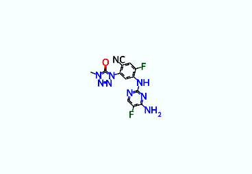 Cn1nnn(-c2cc(Nc3ncc(F)c(N)n3)c(F)cc2C#N)c1=O